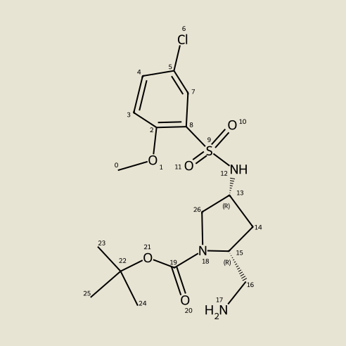 COc1ccc(Cl)cc1S(=O)(=O)N[C@@H]1C[C@H](CN)N(C(=O)OC(C)(C)C)C1